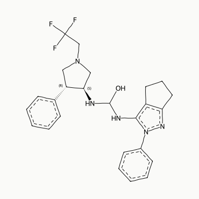 OC(Nc1c2c(nn1-c1ccccc1)CCC2)N[C@@H]1CN(CC(F)(F)F)C[C@H]1c1ccccc1